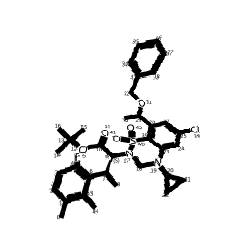 Cc1ccc(F)c(C(C)[C@@H](C(=O)OC(C)(C)C)N2CN(C3CC3)c3cc(Cl)cc(C(C)OCc4ccccc4)c3S2(=O)=O)c1C